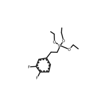 CCO[Si](CCc1ccc(F)c(F)c1)(OCC)OCC